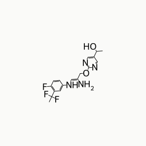 CC(O)c1cnc(OC/C(N)=C/Nc2ccc(F)c(C(C)(F)F)c2)nc1